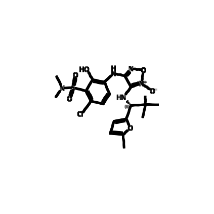 Cc1ccc([C@H](Nc2c(Nc3ccc(Cl)c(S(=O)(=O)N(C)C)c3O)no[n+]2[O-])C(C)(C)C)o1